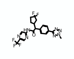 Cn1nnc(-c2ccc(C(C(=O)Nc3cnc(C(F)(F)F)cn3)C3CCC(F)(F)C3)cc2)n1